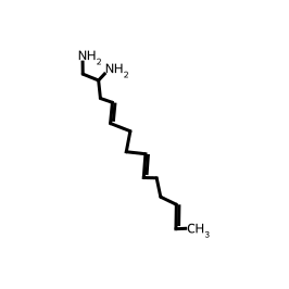 CC=CCCC=CCCC=CCC(N)CN